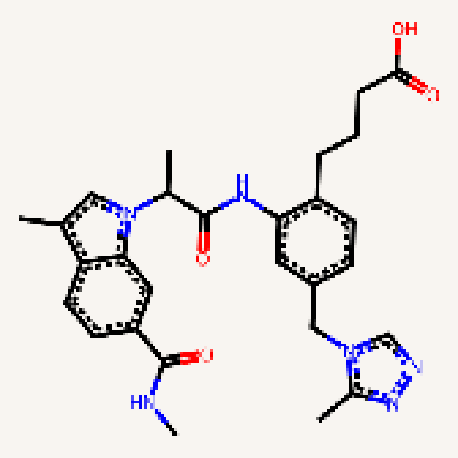 CNC(=O)c1ccc2c(C)cn(C(C)C(=O)Nc3cc(Cn4cnnc4C)ccc3CCCC(=O)O)c2c1